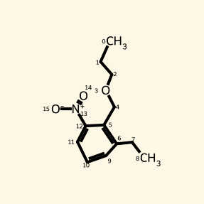 CCCOCc1c(CC)cccc1[N+](=O)[O-]